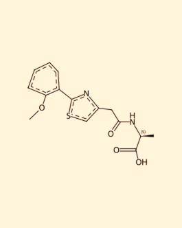 COc1ccccc1-c1nc(CC(=O)N[C@@H](C)C(=O)O)cs1